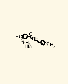 Br.COc1ccc(CCCNCC(=O)c2ccc(O)c(SC)c2)cc1